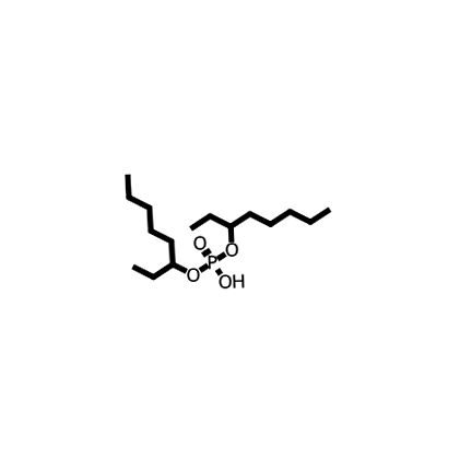 CCCCCC(CC)OP(=O)(O)OC(CC)CCCCC